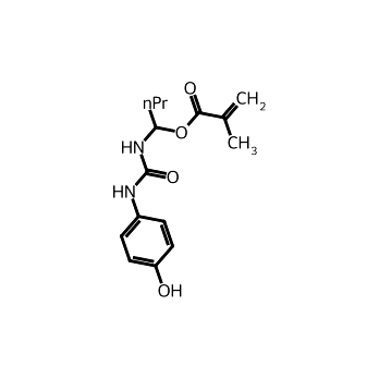 C=C(C)C(=O)OC(CCC)NC(=O)Nc1ccc(O)cc1